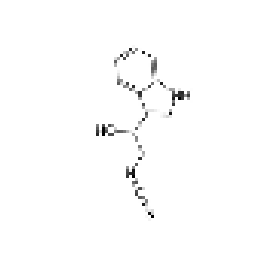 OC(CN=C=S)c1c[nH]c2ccccc12